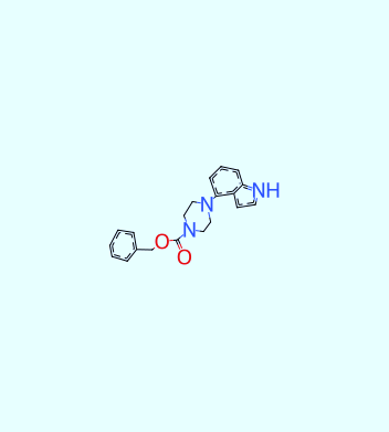 O=C(OCc1ccccc1)N1CCN(c2cccc3[nH]ccc23)CC1